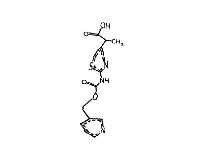 CC(C(=O)O)c1csc(NC(=O)OCc2cccnc2)n1